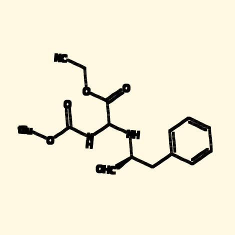 CC(C)(C)OC(=O)NC(N[C@H](C=O)Cc1ccccc1)C(=O)OCC#N